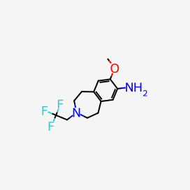 COc1cc2c(cc1N)CCN(CC(F)(F)F)CC2